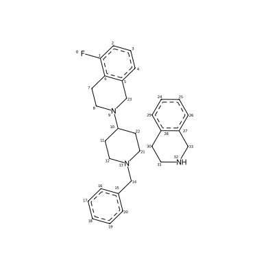 Fc1cccc2c1CCN(C1CCN(Cc3ccccc3)CC1)C2.c1ccc2c(c1)CCNC2